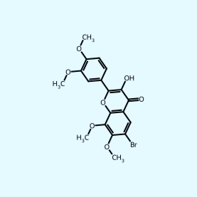 COc1ccc(-c2oc3c(OC)c(OC)c(Br)cc3c(=O)c2O)cc1OC